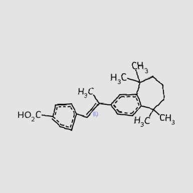 C/C(=C\c1ccc(C(=O)O)cc1)c1ccc2c(c1)C(C)(C)CCCC2(C)C